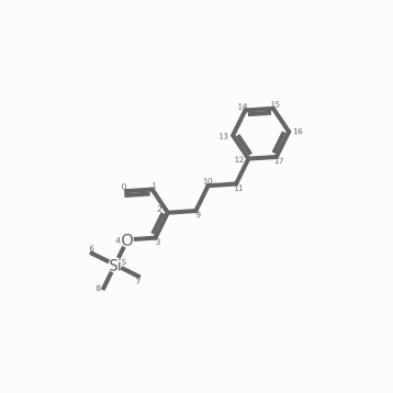 C=C/C(=C\O[Si](C)(C)C)CCCc1ccccc1